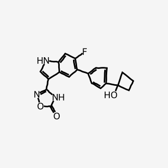 O=c1[nH]c(-c2c[nH]c3cc(F)c(-c4ccc(C5(O)CCC5)cc4)cc23)no1